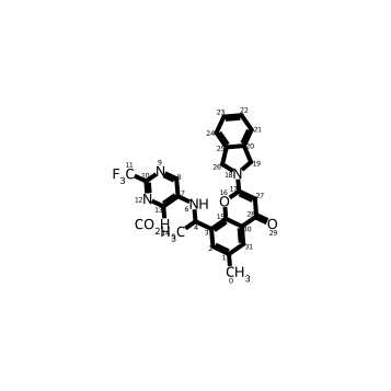 Cc1cc(C(C)Nc2cnc(C(F)(F)F)nc2C(=O)O)c2oc(N3Cc4ccccc4C3)cc(=O)c2c1